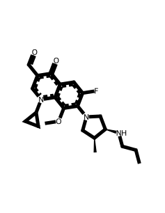 CCCN[C@@H]1CN(c2c(F)cc3c(=O)c(C=O)cn(C4CC4)c3c2OC)C[C@@H]1C